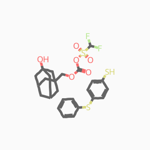 O=C(OCC12CC3CC(CC(O)(C3)C1)C2)OS(=O)(=O)C(F)F.Sc1ccc(Sc2ccccc2)cc1